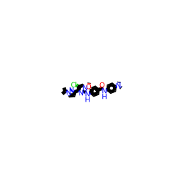 COc1cc(C(=O)NC2CCC(N(C)C)CC2)ccc1Nc1ncc(Cl)c(-c2ccn(C(C)C)n2)n1